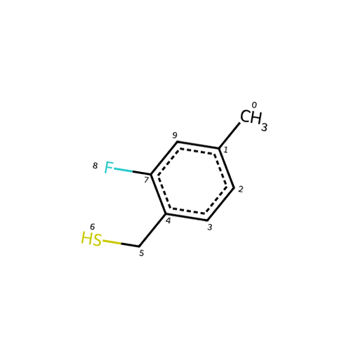 Cc1ccc(CS)c(F)c1